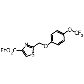 CCOC(=O)c1csc(COc2ccc(OC(F)(F)F)cc2)n1